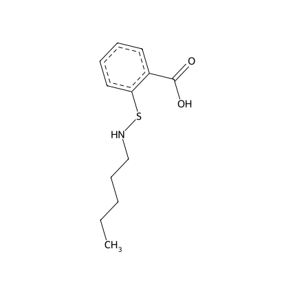 CCCCCNSc1ccccc1C(=O)O